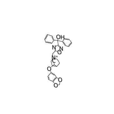 OC(c1ccccc1)(c1ccccc1)c1noc(C[N+]23CCC(CC2)C(Oc2ccc4c(c2)OCO4)C3)n1